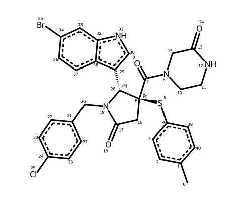 Cc1ccc(S[C@@]2(C(=O)N3CCNC(=O)C3)CC(=O)N(Cc3ccc(Cl)cc3)[C@@H]2c2c[nH]c3cc(Br)ccc23)cc1